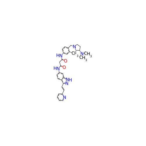 CN(C)C1CCN(Cc2ccc(NC(=O)CC(=O)Nc3ccc4c(C=Cc5ccccn5)n[nH]c4c3)cc2C(F)(F)F)C1